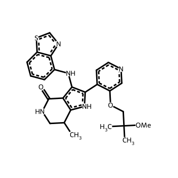 COC(C)(C)COc1cnccc1-c1[nH]c2c(c1Nc1cccc3scnc13)C(=O)NCC2C